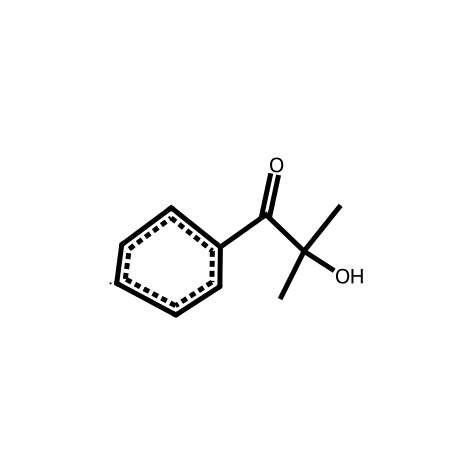 CC(C)(O)C(=O)c1cc[c]cc1